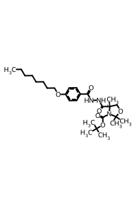 CCCCCCCCOc1ccc(C(=O)NNC(=O)[C@]2(C)COC(C)(C)N2C(=O)OC(C)(C)C)cc1